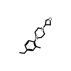 CCc1ccc(N2CCN(C3COC3)CC2)c(C)c1